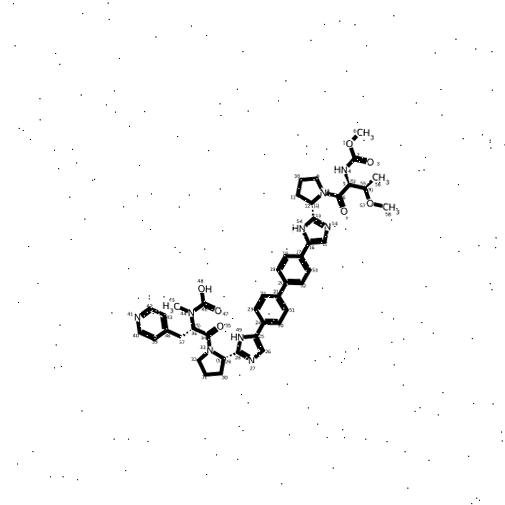 COC(=O)N[C@H](C(=O)N1CCC[C@H]1c1ncc(-c2ccc(-c3ccc(-c4cnc([C@@H]5CCCN5C(=O)[C@H](Cc5ccncc5)N(C)C(=O)O)[nH]4)cc3)cc2)[nH]1)[C@@H](C)OC